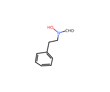 O=[C]N(O)CCc1ccccc1